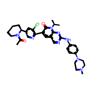 CC(=O)N1CCCCC1c1cnc(-c2cc3cnc(Nc4ccc(N5CCN(C)CC5)cc4)nc3n(C(C)C)c2=O)c(Cl)c1